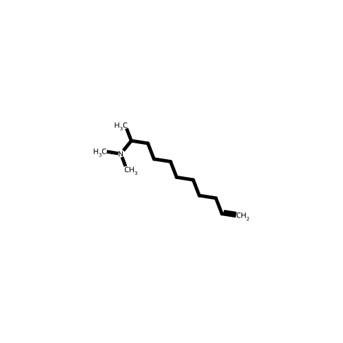 C=CCCCCCCCC(C)N(C)C